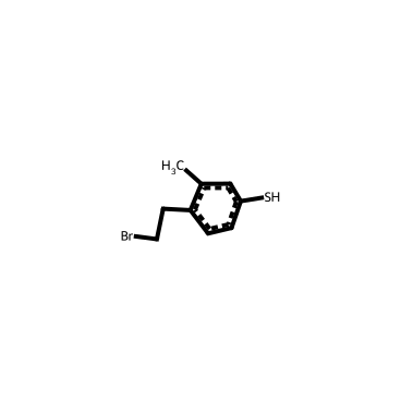 Cc1cc(S)ccc1CCBr